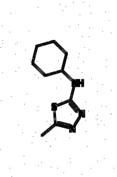 Cc1nnc(NC2CCCCC2)s1